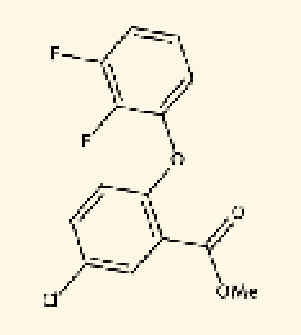 COC(=O)c1cc(Cl)ccc1Oc1cccc(F)c1F